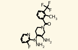 Cc1c(C(=O)N2CCC(N(N)c3ncccc3F)=C(N)C2)cccc1C(F)(F)F